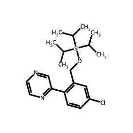 CC(C)[Si](OCc1cc(Cl)ccc1-c1cnccn1)(C(C)C)C(C)C